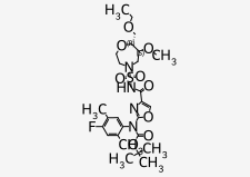 CCOC[C@H]1OCCN(S(=O)(=O)NC(=O)c2coc(N(C(=O)OC(C)(C)C)c3cc(C)c(F)cc3C)n2)C[C@@H]1OC